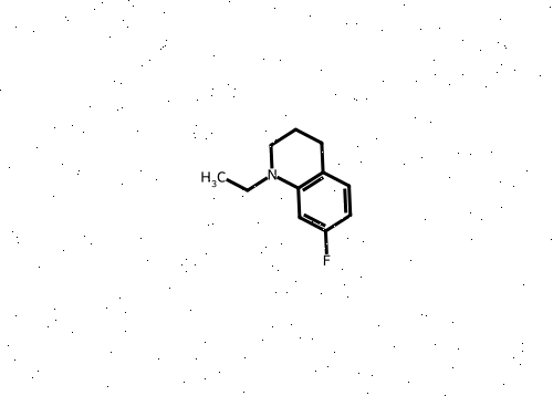 CCN1CCCc2ccc(F)cc21